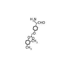 Cc1ccc(OC(=O)COc2ccc(C(C=O)CN)cc2)c(C)c1